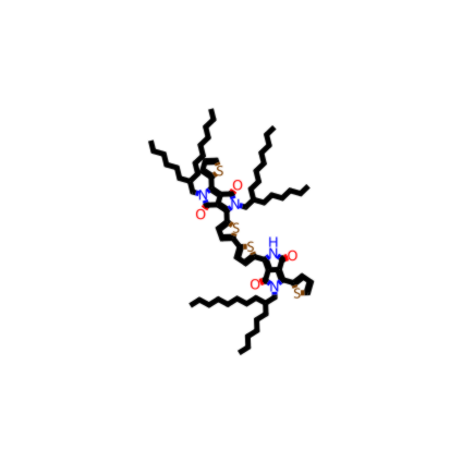 CCCCCCCCC(CCCCCC)CN1C(=O)C2=C(c3ccc(-c4ccc(C5=C6C(=O)N(CC(CCCCCC)CCCCCCCC)C(c7cccs7)=C6C(=O)N5CC(CCCCCC)CCCCCCCC)s4)s3)NC(=O)C2=C1c1cccs1